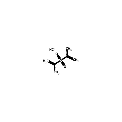 C=C(C)S(=O)(=O)C(=C)C.Cl